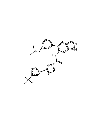 CN(C)Cc1cccc(-c2cc3cn[nH]c3cc2NC(=O)c2csc(-c3cc(C(F)(F)F)n[nH]3)n2)c1